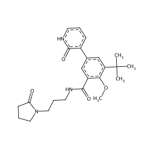 COc1c(C(=O)NCCCN2CCCC2=O)cc(-c2ccc[nH]c2=O)cc1C(C)(C)C